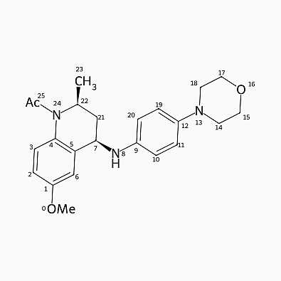 COc1ccc2c(c1)[C@H](Nc1ccc(N3CCOCC3)cc1)C[C@H](C)N2C(C)=O